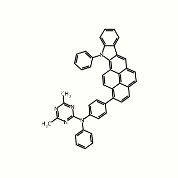 Cc1nc(C)nc(N(c2ccccc2)c2ccc(-c3ccc4ccc5cc6c7ccccc7n(-c7ccccc7)c6c6ccc3c4c56)cc2)n1